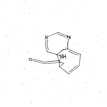 O=C1C=C2C=CC=C3N=CN=CC23N1